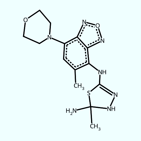 Cc1cc(N2CCOCC2)c2nonc2c1NC1=NNC(C)(N)S1